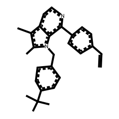 C=Cc1ccc(-c2nccc3c(C)c(C)n(Cc4ccc(C(C)(C)C)cc4)c23)cc1